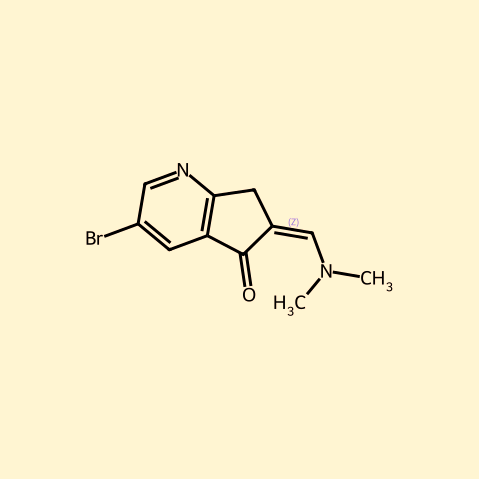 CN(C)/C=C1/Cc2ncc(Br)cc2C1=O